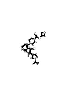 O=C(OC1COC1)N1CCN(c2ccnc3[nH]c(-c4cnn(C(F)F)c4)c(Cl)c23)CC1